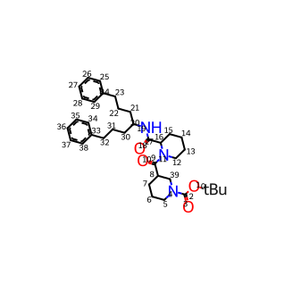 CC(C)(C)OC(=O)N1CCCC(C(=O)N2CCCCC2C(=O)NC(CCCc2ccccc2)CCCc2ccccc2)C1